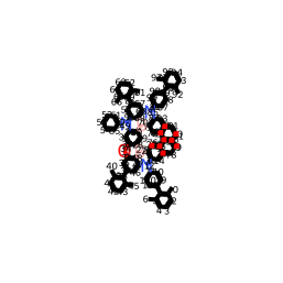 Cc1cccc(C)c1-c1ccc(N2c3ccc(-c4c(C)cccc4C)cc3B3c4cc5c(cc4Oc4cc(-c6c(C)cccc6C)cc2c43)N(c2ccccc2)c2cc(-c3c(C)cccc3C)cc3c2B5c2cc(-c4c(C)cccc4C)ccc2N3c2ccc(-c3c(C)cccc3C)cc2)cc1